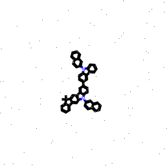 CC1(C)c2ccccc2-c2cc3c(cc21)c1cc(-c2ccc4c(c2)c2ccccc2n4-c2ccc4ccccc4c2)ccc1n3-c1ccc2ccccc2c1